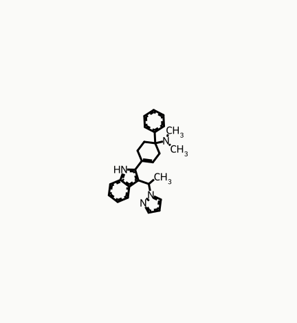 CC(c1c(C2=CCC(c3ccccc3)(N(C)C)CC2)[nH]c2ccccc12)n1cccn1